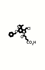 Cc1csc2c(OCc3ccccc3)cc3c(c12)C(CCl)CN3C(=O)CCCC(=O)O